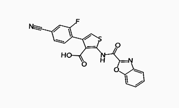 N#Cc1ccc(-c2csc(NC(=O)c3nc4ccccc4o3)c2C(=O)O)c(F)c1